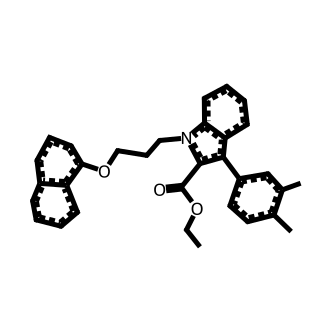 CCOC(=O)c1c(-c2ccc(C)c(C)c2)c2ccccc2n1CCCOc1cccc2ccccc12